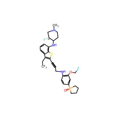 CN1CCC(Nc2cccc3c(CC(F)(F)F)c(C#CCNc4ccc(P5(=O)CCCC5)cc4OCF)sc23)[C@H](F)C1